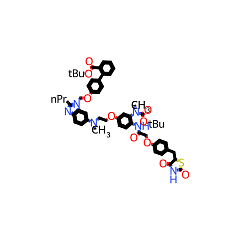 CCCc1nc2ccc(N(C)CCOc3ccc(NC(=O)COc4ccc(CC5SC(=O)NC5=O)cc4)c(N(C)C(=O)OC(C)(C)C)c3)cc2n1COc1ccc(-c2ccccc2C(=O)OC(C)(C)C)cc1